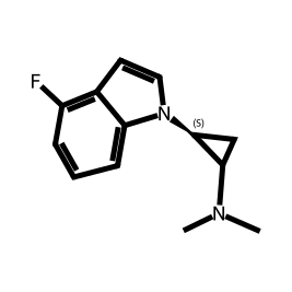 CN(C)C1C[C@@H]1n1ccc2c(F)cccc21